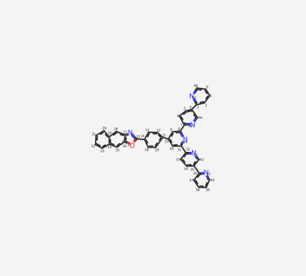 c1ccc(-c2ccc(-c3cc(-c4ccc(-c5nc6cc7ccccc7cc6o5)cc4)cc(-c4ccc(-c5ccccn5)cn4)n3)nc2)nc1